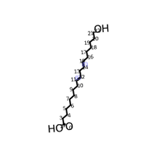 O=C(O)CCCCCCCC/C=C/C/C=C/CCCCCCO